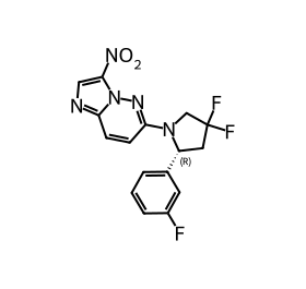 O=[N+]([O-])c1cnc2ccc(N3CC(F)(F)C[C@@H]3c3cccc(F)c3)nn12